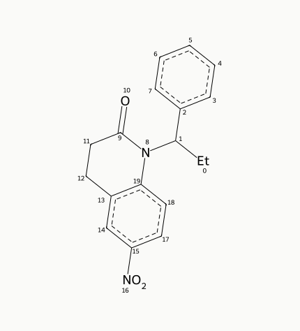 CCC(c1ccccc1)N1C(=O)CCc2cc([N+](=O)[O-])ccc21